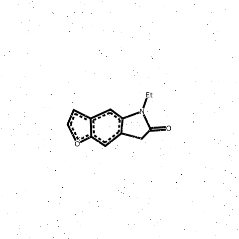 CCN1C(=O)Cc2cc3occc3cc21